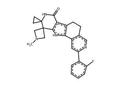 CN1CC2(C1)c1[nH]c3c(c1C(=O)NC21CC1)CCc1cnc(-c2ccccc2F)cc1-3